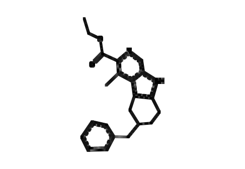 CCOC(=O)c1ncc2[nH]c3c(c2c1C)CC(Cc1ccccc1)CC3